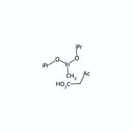 CC(=O)CC(=O)O.CC(C)[O][In]([CH3])[O]C(C)C